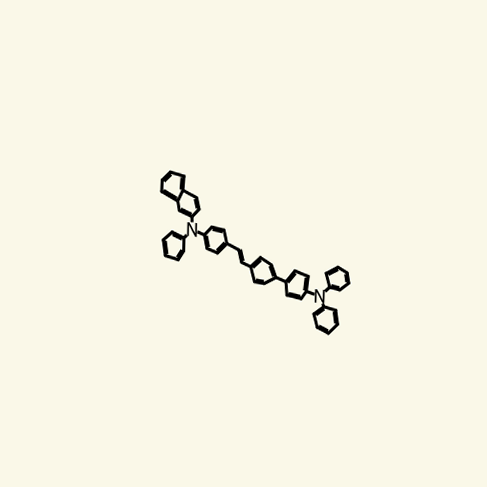 C(=Cc1ccc(N(c2ccccc2)c2ccc3ccccc3c2)cc1)c1ccc(-c2ccc(N(c3ccccc3)c3ccccc3)cc2)cc1